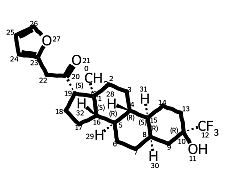 C[C@]12CC[C@H]3[C@@H](CC[C@@H]4C[C@@](O)(C(F)(F)F)CC[C@@H]43)[C@@H]1CC[C@@H]2C(=O)Cc1ccco1